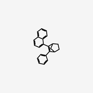 c1ccc(C2=C(c3cccc4ccccc34)C3CCC2C3)cc1